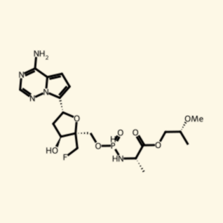 CO[C@H](C)COC(=O)[C@H](C)N[PH](=O)OC[C@@]1(CF)O[C@@H](c2ccc3c(N)ncnn23)C[C@@H]1O